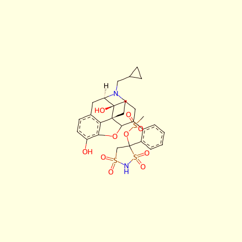 CS(=O)(=O)OC1(c2ccccc2C2CC[C@@]3(O)[C@H]4Cc5ccc(O)c6c5[C@@]3(CCN4CC3CC3)C2O6)CS(=O)(=O)NS1(=O)=O